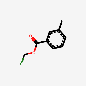 Cc1cccc(C(=O)OCCl)c1